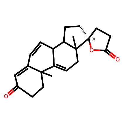 CC12CCC(=O)C=C1C=CC1C2=CCC2(C)C1CC[C@@]21CCC(=O)O1